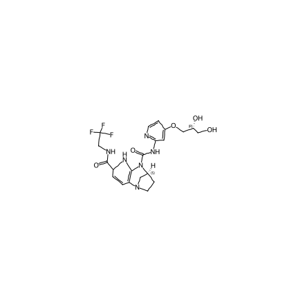 O=C(NCC(F)(F)F)C1C=CC2=C(N1)N(C(=O)Nc1cc(OC[C@H](O)CO)ccn1)[C@H]1CCN2C1